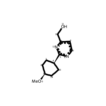 CO[C@H]1CC[C@@H](c2nccc(CO)n2)CC1